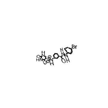 O=C(NNc1ccc(Br)cc1)c1cccc(NS(=O)(=O)c2c[nH]c(=O)[nH]c2=O)c1